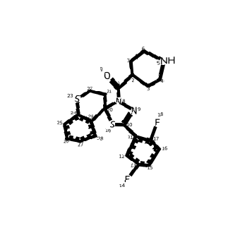 O=C(C1CCNCC1)N1N=C(c2cc(F)ccc2F)SC12CCSc1ccccc12